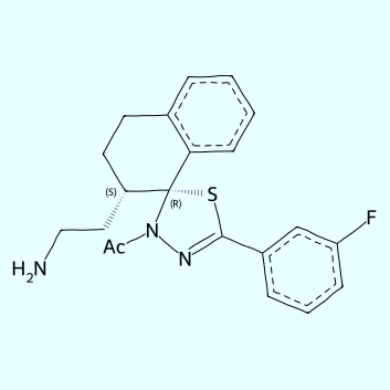 CC(=O)N1N=C(c2cccc(F)c2)S[C@]12c1ccccc1CC[C@H]2CCN